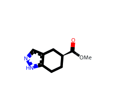 COC(=O)[C@H]1CCc2[nH]ncc2C1